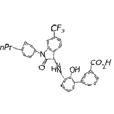 CCCc1ccc(N2C(=O)/C(=N\Nc3cccc(-c4cccc(C(=O)O)c4)c3O)c3ccc(C(F)(F)F)cc32)cc1